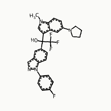 Cn1cc(C(O)(c2ccc3c(cnn3-c3ccc(F)cc3)c2)C(F)(F)F)c2cc(N3CCCC3)ccc21